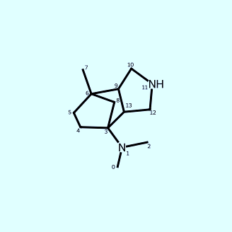 CN(C)C12CCC(C)(C1)C1CNCC12